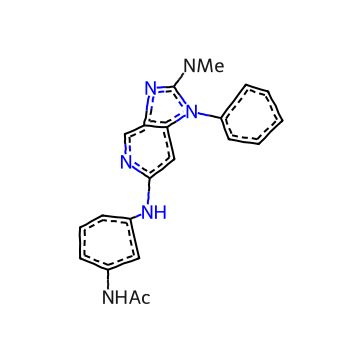 CNc1nc2cnc(Nc3cccc(NC(C)=O)c3)cc2n1-c1ccccc1